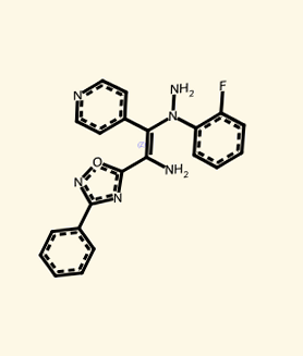 N/C(=C(/c1ccncc1)N(N)c1ccccc1F)c1nc(-c2ccccc2)no1